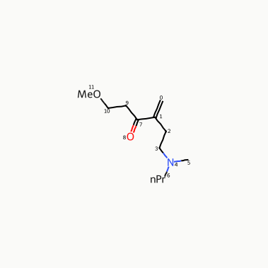 C=C(CCN(C)CCC)C(=O)CCOC